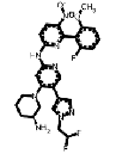 COc1cccc(F)c1-c1nc(Nc2cc(N3CCC[C@H](N)C3)c(-c3cnn(CC(F)F)c3)cn2)ccc1[N+](=O)[O-]